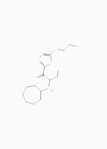 CNCCSc1nnc(C(=O)C(CC(C)(C)C)N(C=O)C2CCCCCC2)o1